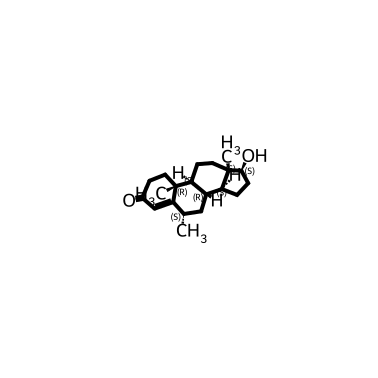 C[C@H]1C[C@H]2[C@@H]3CC[C@H](O)[C@@]3(C)CC[C@@H]2[C@@]2(C)CCC(=O)C=C12